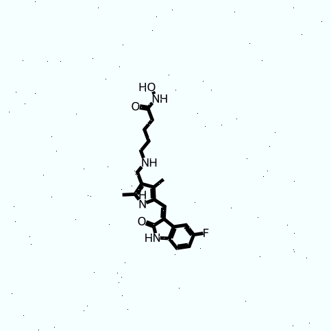 Cc1[nH]c(/C=C2\C(=O)Nc3ccc(F)cc32)c(C)c1CNCCCCC(=O)NO